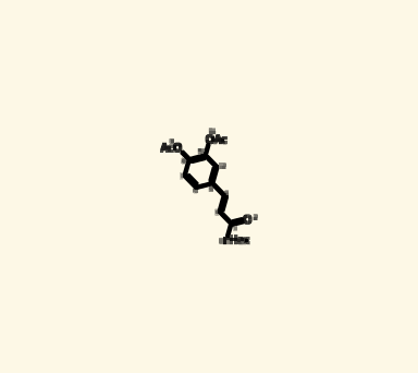 CCCCCCC(=O)C=Cc1ccc(OC(C)=O)c(OC(C)=O)c1